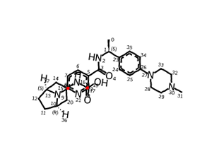 C[C@H](NC(=O)c1ccc(N2[C@@H]3CC[C@H]2C[C@@H](NC(=O)O)C3)nc1)c1ccc(N2CCN(C)CC2)cc1